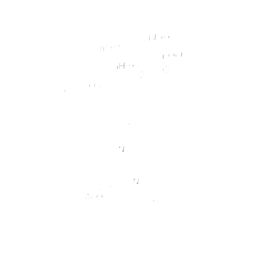 CCCCCCCCC(CCCCCC)COC(=O)CCCCCN(CCCCCC(=O)OCC(CCCCCC)CCCCCCCC)CCN(CCOC(C)=O)C1CCC1